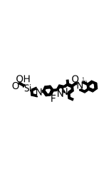 CCc1cc(C(=O)N2CCc3ccccc3[C@H]2C)c(C)c2cc(-c3ccc(N4CCC([Si]#CC(=O)O)C4)cc3F)nn12